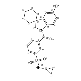 O=C(c1cccc(S(=O)(=O)NC2CC2)c1)N1CC2(CCCCC2)c2cc(Br)ccc21